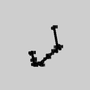 CN[C@@H](CCCCNC(=O)CC[C@H](NC(=O)CC[C@@H](CO)NC(=O)COCCOCCNC(=O)COCCOCCNC(=O)CC[C@H](NC(=O)CCCCCCCCCCCCCCCCC(=O)O)C(=O)O)C(=O)O)C(C)=O